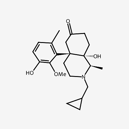 COc1c(O)ccc(C)c1[C@]12CCN(CC3CC3)[C@H](C)[C@]1(O)CCC(=O)C2